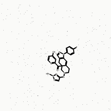 CCCn1ncc(SN2CCC3=Cc4c(cnn4-c4ccc(F)cc4)CC3(C(=O)c3cc(C(F)(F)F)ccn3)C2)n1